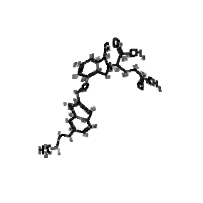 CCCCC1=CC2SC(COc3cccc4c3CN(C(CCC(C)=O)C(C)=O)C4=O)=CC2C=C1